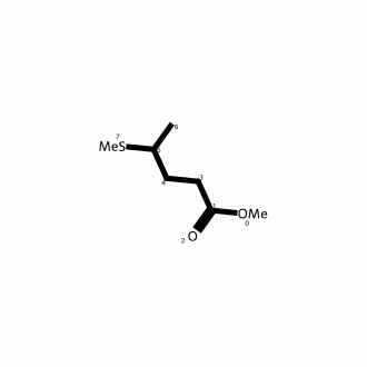 COC(=O)CCC(C)SC